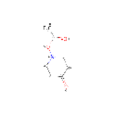 O=C1CCN(OC(=O)C(F)(F)F)CC1